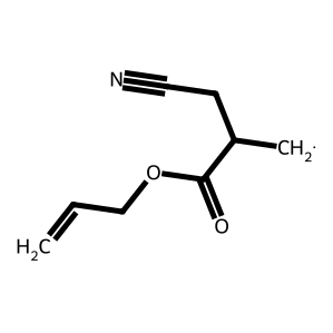 [CH2]C(CC#N)C(=O)OCC=C